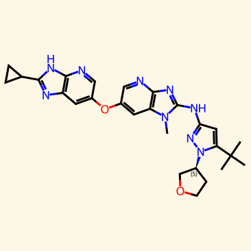 Cn1c(Nc2cc(C(C)(C)C)n([C@H]3CCOC3)n2)nc2ncc(Oc3cnc4[nH]c(C5CC5)nc4c3)cc21